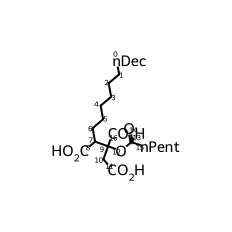 CCCCCCCCCCCCCCCCC(C(=O)O)C(CC(=O)O)(OC(=O)CCCCC)C(=O)O